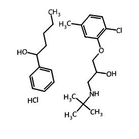 CCCCC(O)c1ccccc1.Cc1ccc(Cl)c(OCC(O)CNC(C)(C)C)c1.Cl